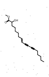 CCCCCC#CC#C/C=C/CCCCCC(O)C(=O)OC